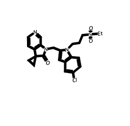 CCS(=O)(=O)CCCn1c(CN2C(=O)C3(CC3)c3ccncc32)cc2cc(Cl)ccc21